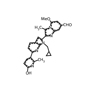 COc1cc(C=O)cc2nc(-c3cc4ccc(-c5ccc(O)nc5C)nc4n3CC3CC3)c(C)n12